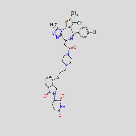 Cc1sc2c(c1C)C(c1ccc(Cl)cc1)=N[C@@H](CC(=O)N1CCN(CCSc3cccc4c3CN(C3CCC(=O)NC3=O)C4=O)CC1)c1nnc(C)n1-2